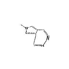 Cn1cc2cnncc2c1